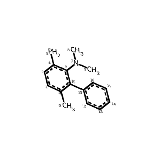 Cc1ccc(P)c(N(C)C)c1-c1ccccc1